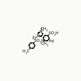 CCn1cc[n+](C)c1.Cc1ccc(S(=O)(=O)O)cc1.Cc1ccc(S(=O)(=O)O)cc1.[Pd]